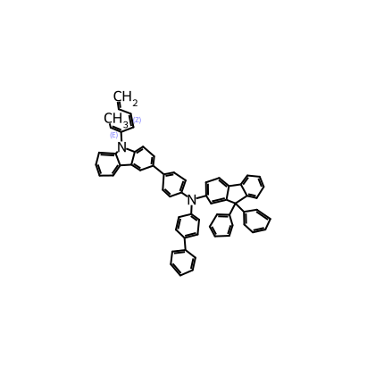 C=C/C=C\C(=C/C)n1c2ccccc2c2cc(-c3ccc(N(c4ccc(-c5ccccc5)cc4)c4ccc5c(c4)C(c4ccccc4)(c4ccccc4)c4ccccc4-5)cc3)ccc21